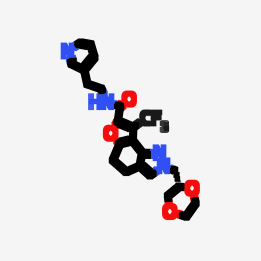 O=C(NCCc1cccnc1)c1oc2c(c1C(F)(F)F)-c1nn(C[C@H]3COCCO3)cc1CC2